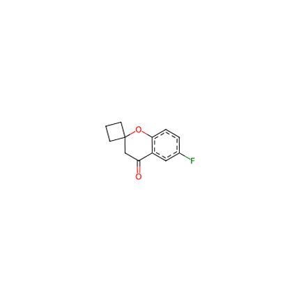 O=C1CC2(CCC2)Oc2ccc(F)cc21